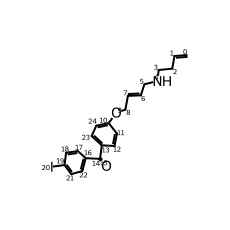 C=CCCNCC=CCOc1ccc(C(=O)c2ccc(I)cc2)cc1